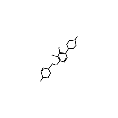 CC1C=CC(COc2ccc(C3CCC(C)CC3)c(F)c2F)CC1